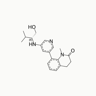 CC(C)[C@H](CO)Nc1cncc(-c2cccc3c2N(C)C(=O)CC3)c1